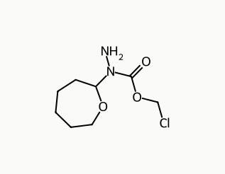 NN(C(=O)OCCl)C1CCCCCO1